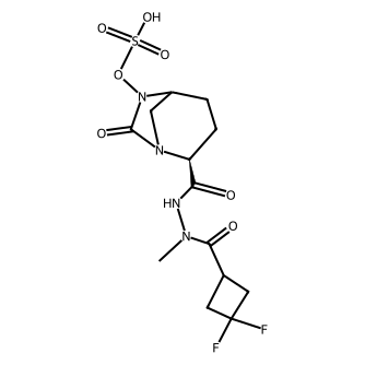 CN(NC(=O)[C@@H]1CCC2CN1C(=O)N2OS(=O)(=O)O)C(=O)C1CC(F)(F)C1